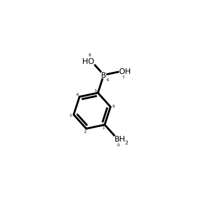 Bc1cccc(B(O)O)c1